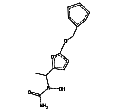 CC(c1ccc(OCc2ccccc2)o1)N(O)C(N)=O